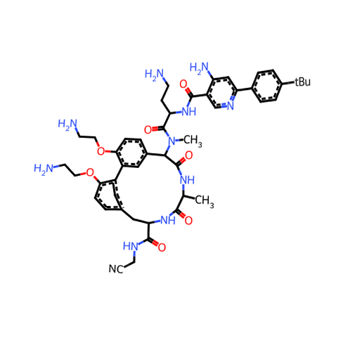 CC1NC(=O)C(N(C)C(=O)C(CCN)NC(=O)c2cnc(-c3ccc(C(C)(C)C)cc3)cc2N)c2ccc(OCCN)c(c2)-c2cc(ccc2OCCN)CC(C(=O)NCC#N)NC1=O